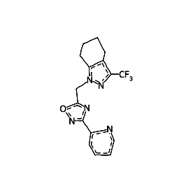 FC(F)(F)c1nn(Cc2nc(-c3ccccn3)no2)c2c1CCCC2